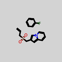 C=CCS(=O)(=O)Cc1cc2ccccn2c1.Fc1ccccc1